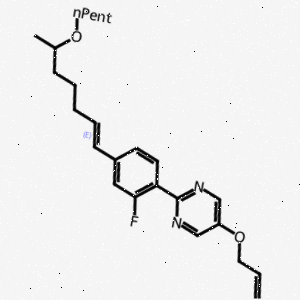 C=CCOc1cnc(-c2ccc(/C=C/CCCC(C)OCCCCC)cc2F)nc1